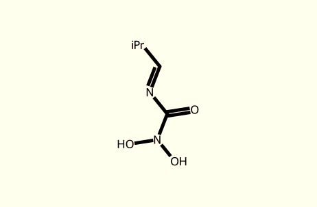 CC(C)C=NC(=O)N(O)O